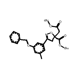 Cc1cc(OCc2ccccc2)cc(C2=NOC(CC(=O)OC(C)(C)C)(C(=O)OC(C)(C)C)C2)c1